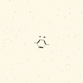 O=C(O)c1ccc(C(=O)O)cc1.[O]=[Ti]=[O]